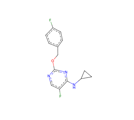 Fc1ccc(COc2ncc(F)c(NC3CC3)n2)cc1